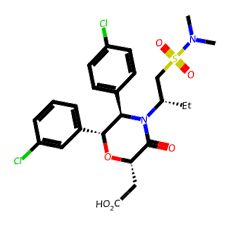 CC[C@@H](CS(=O)(=O)N(C)C)N1C(=O)[C@H](CC(=O)O)O[C@H](c2cccc(Cl)c2)[C@H]1c1ccc(Cl)cc1